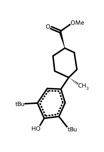 COC(=O)[C@H]1CC[C@@](C)(c2cc(C(C)(C)C)c(O)c(C(C)(C)C)c2)CC1